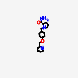 NC(=O)[C@@H]1CCCN1Cc1ccc(OCc2ccccn2)cc1